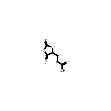 O=C(O)CCC1OC(=O)OC1=O